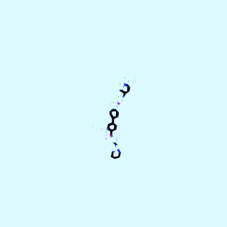 CCNc1cc(-c2ccc(NC(=O)NCc3ccc(N)nc3)c(F)c2)ccc1C(=O)NCCN1CCCCC1